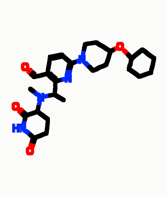 CC(c1nc(N2CCC(OC3CCCCC3)CC2)ccc1C=O)N(C)C1CCC(=O)NC1=O